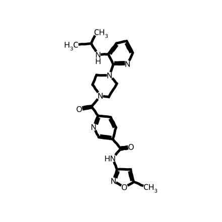 Cc1cc(NC(=O)c2ccc(C(=O)N3CCN(c4ncccc4NC(C)C)CC3)nc2)no1